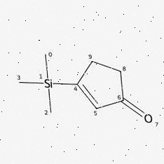 C[Si](C)(C)C1=CC(=O)CC1